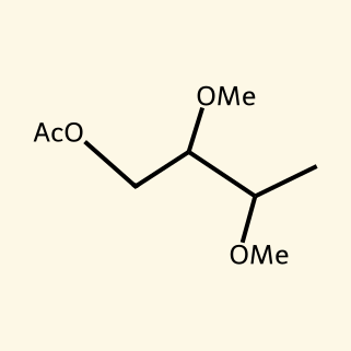 COC(C)C(COC(C)=O)OC